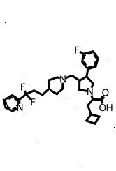 O=C(O)C(CC1CCC1)N1CC(CN2CCC(CCC(F)(F)c3ccccn3)CC2)C(c2cccc(F)c2)C1